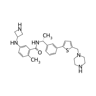 Cc1ccc(NC2CNC2)cc1C(=O)N[C@H](C)c1cccc(-c2ccc(CN3CCNCC3)s2)c1